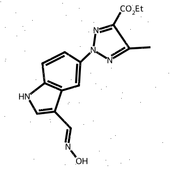 CCOC(=O)c1nn(-c2ccc3[nH]cc(C=NO)c3c2)nc1C